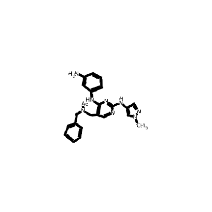 CC(=O)N(Cc1ccccc1)Cc1cnc(Nc2cnn(C)c2)nc1Nc1cccc(N)c1